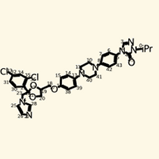 CC(C)n1ncn(-c2ccc(N3CCN(c4ccc(OCC5COC(Cn6ccnc6)(c6ccc(Cl)cc6Cl)O5)cc4)CC3)cc2)c1=O